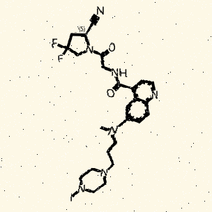 CN(CCCN1CCN(I)CC1)c1ccc2nccc(C(=O)NCC(=O)N3CC(F)(F)C[C@H]3C#N)c2c1